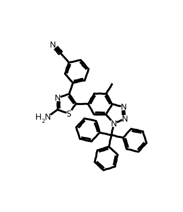 Cc1cc(-c2sc(N)nc2-c2cccc(C#N)c2)cc2c1nnn2C(c1ccccc1)(c1ccccc1)c1ccccc1